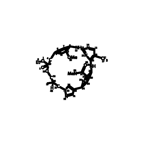 CCOP1(=O)Cc2ccc(c(OC)c2)Nc2ncc(C(F)(F)F)c(n2)Nc2ccc(nc2C(=O)NC)-c2cnn(c2)C[C@H](C)CO1